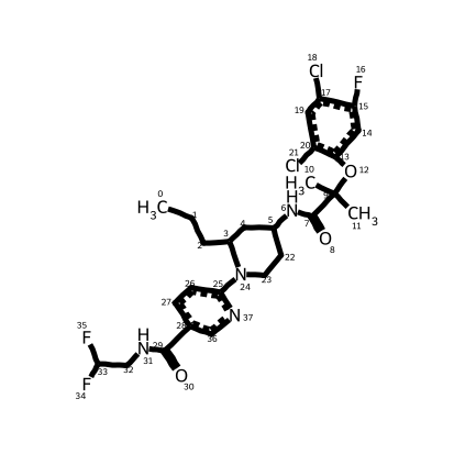 CCCC1CC(NC(=O)C(C)(C)Oc2cc(F)c(Cl)cc2Cl)CCN1c1ccc(C(=O)NCC(F)F)cn1